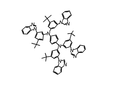 CC(C)(C)c1cc(N(c2ccc(N(c3cc(-n4cnc5ccccc54)cc(C(C)(C)C)c3)c3cc(-n4cnc5ccccc54)cc(C(C)(C)C)c3)cc2)c2cc(-n3cnc4ccccc43)cc(C(C)(C)C)c2)cc(-n2cnc3ccccc32)c1